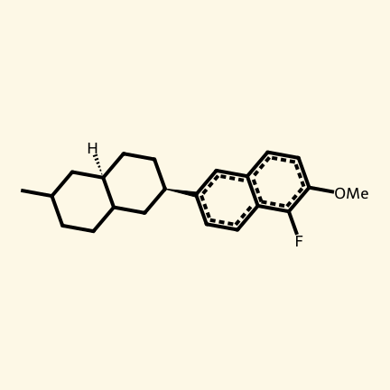 COc1ccc2cc([C@@H]3CC[C@@H]4CC(C)CCC4C3)ccc2c1F